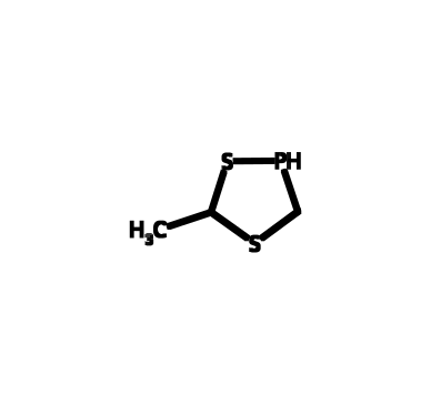 CC1SCPS1